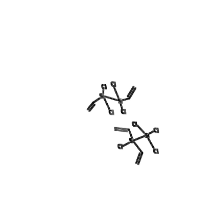 C=C[Si](Cl)(C=C)[Si](Cl)(Cl)Cl.C=C[Si](Cl)(Cl)[Si](Cl)(Cl)C=C